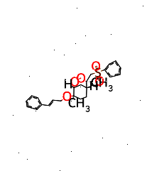 C[C@@]1(OC/C=C/c2ccccc2)CC[C@@H]2C[C@H]1OO[C@@]2(C)CS(=O)(=O)c1ccccc1